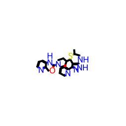 Cc1ncccc1NC(=O)N1CCC(C2SC(C)CNc3[nH]nc(-c4ccccn4)c32)CC1